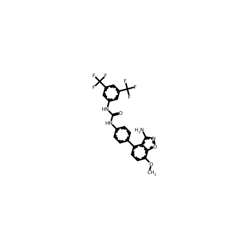 COc1ccc(-c2ccc(NC(=O)Nc3cc(C(F)(F)F)cc(C(F)(F)F)c3)cc2)c2c(N)noc12